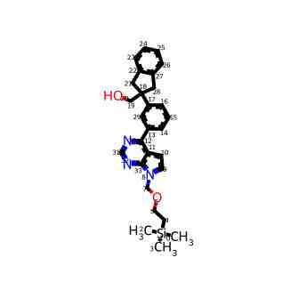 C[Si](C)(C)CCOCn1ccc2c(-c3cccc(C4(CO)Cc5ccccc5C4)c3)ncnc21